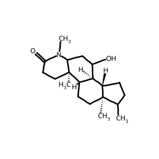 CC1CC[C@H]2[C@@H]3C(O)CC4N(C)C(=O)CC[C@]4(C)[C@@H]3CC[C@]12C